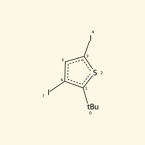 CC(C)(C)c1sc(I)cc1I